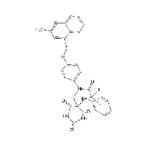 Cc1cc(COc2ccc(N(CC3(Cc4ccccc4)C(=O)NC(=O)NC3=O)C(=O)C(F)(F)F)cc2)c2ccccc2n1